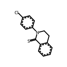 S=C1c2ccccc2CCN1c1ccc(Cl)cc1